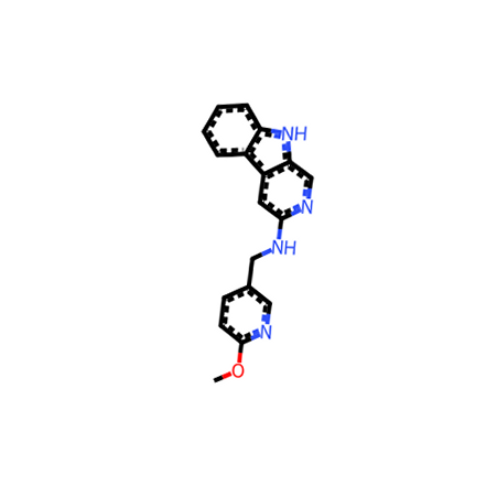 COc1ccc(CNc2cc3c(cn2)[nH]c2ccccc23)cn1